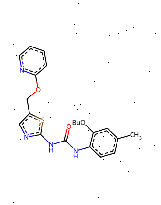 Cc1ccc(NC(=O)Nc2ncc(COc3ccccn3)s2)c(OCC(C)C)c1